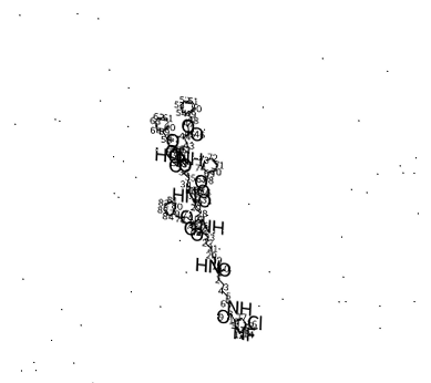 O=C(CCCCCNC(=O)c1cnc(F)c(Cl)c1)NCCCCCC(=O)N[C@@H](CCC(=O)N[C@@H](CCCOP(=O)(O)N[C@@H](CCC(=O)OCc1ccccc1)C(=O)OCc1ccccc1)C(=O)OCc1ccccc1)C(=O)OCc1ccccc1